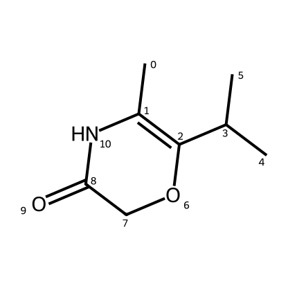 CC1=C(C(C)C)OCC(=O)N1